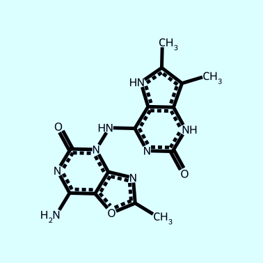 Cc1nc2c(o1)c(N)nc(=O)n2Nc1nc(=O)[nH]c2c(C)c(C)[nH]c12